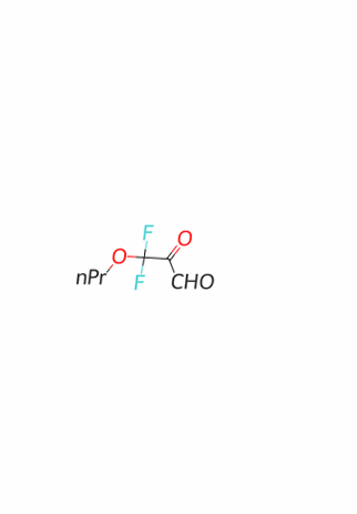 CCCOC(F)(F)C(=O)C=O